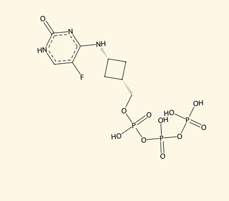 O=c1nc(N[C@H]2C[C@@H](COP(=O)(O)OP(=O)(O)OP(=O)(O)O)C2)c(F)c[nH]1